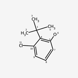 CC(C)(C)c1c([O])cccc1Cl